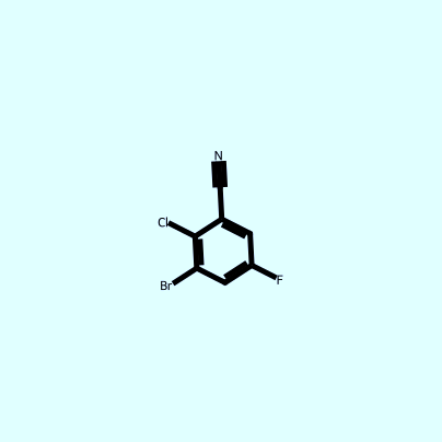 N#Cc1cc(F)cc(Br)c1Cl